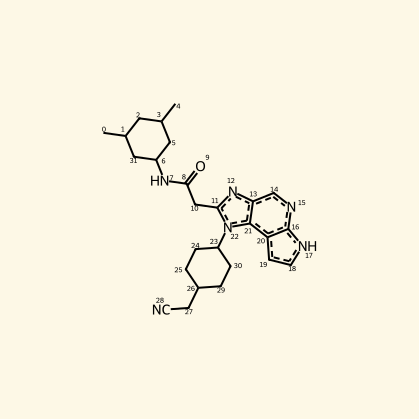 CC1CC(C)CC(NC(=O)Cc2nc3cnc4[nH]ccc4c3n2C2CCC(CC#N)CC2)C1